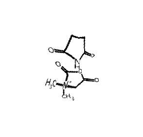 C[N+]1(C)CC(=O)OC1=O.O=C1CCC(=O)N1